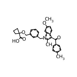 COc1ccc2c(C(=O)c3ccc(C)cc3)c(C)n(Cc3cccc(COC4(C(=O)O)CCC4)c3)c2c1